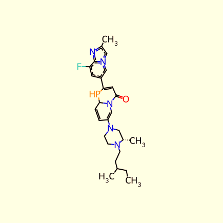 CCC(C)CCN1CCN(C2=CN3C(=O)C=C(c4cc(F)c5nc(C)cn5c4)PC3C=C2)C[C@@H]1C